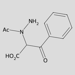 CC(=O)N(N)C(C(=O)O)C(=O)c1ccccc1